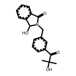 CC(C)(O)C(=O)c1cccc(CN2C(=O)c3ccccc3C2O)c1